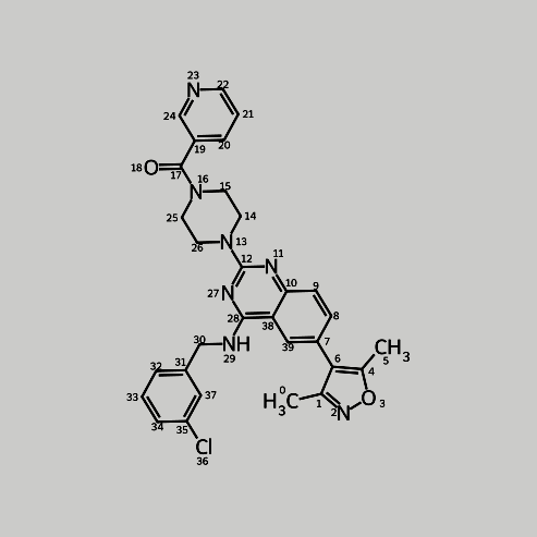 Cc1noc(C)c1-c1ccc2nc(N3CCN(C(=O)c4cccnc4)CC3)nc(NCc3cccc(Cl)c3)c2c1